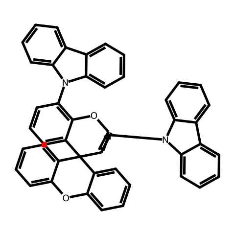 c1ccc2c(c1)Oc1ccccc1C21c2ccc(-n3c4ccccc4c4ccccc43)cc2Oc2c(-n3c4ccccc4c4ccccc43)cccc21